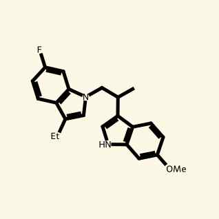 CCc1cn(CC(C)c2c[nH]c3cc(OC)ccc23)c2cc(F)ccc12